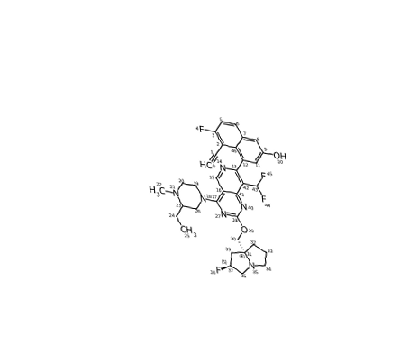 C#Cc1c(F)ccc2cc(O)cc(-c3ncc4c(N5CCN(C)C(CC)C5)nc(OC[C@]56CCCN5C[C@@H](F)C6)nc4c3C(F)F)c12